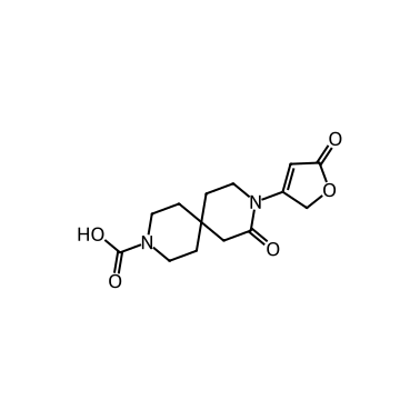 O=C1C=C(N2CCC3(CCN(C(=O)O)CC3)CC2=O)CO1